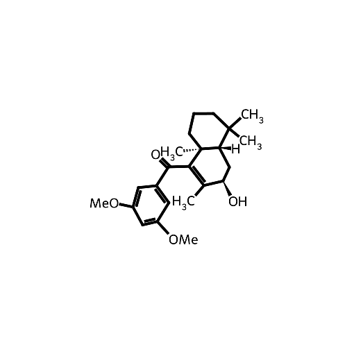 COc1cc(OC)cc(C(=O)C2=C(C)[C@H](O)C[C@H]3C(C)(C)CCC[C@]23C)c1